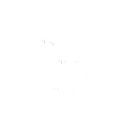 Cn1ccc(NC=C2C(=O)OC(C)(C)OC2=O)n1